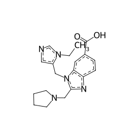 CCn1cncc1Cn1c(CN2CCCC2)nc2ccc(C(=O)O)cc21